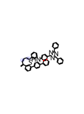 C=C1/C=C\C=C(\c2ccccc2)Sc2c1cccc2-c1ccc(-c2ccccc2)c(Nc2ccc(-c3nc(-c4ccccc4)nc(-c4ccccc4)n3)cc2)c1